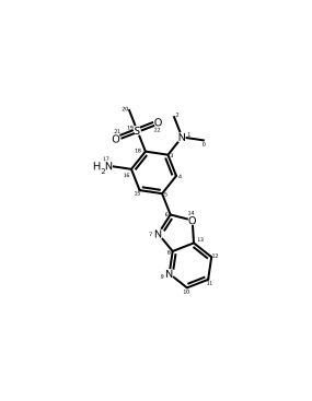 CN(C)c1cc(-c2nc3ncccc3o2)cc(N)c1S(C)(=O)=O